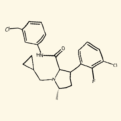 C[C@H]1CC(c2cccc(Cl)c2F)C(C(=O)Nc2cccc(Cl)c2)N1CC1CC1